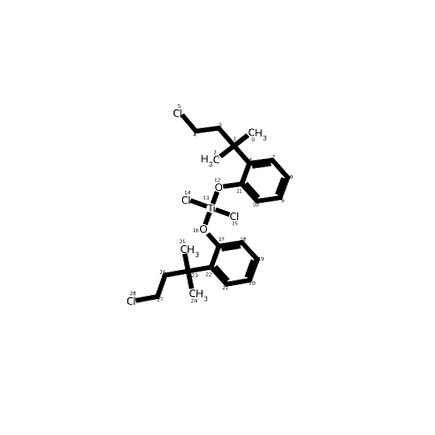 CC(C)(CCCl)c1ccccc1[O][Ti]([Cl])([Cl])[O]c1ccccc1C(C)(C)CCCl